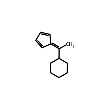 CC(=C1C=CC=C1)C1CCCCC1